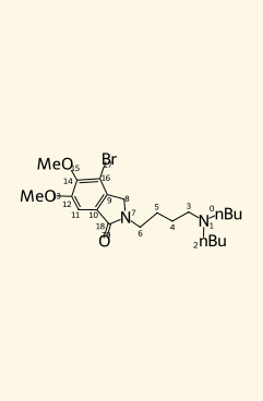 CCCCN(CCCC)CCCCN1Cc2c(cc(OC)c(OC)c2Br)C1=O